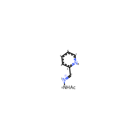 CC(=O)N/N=C/c1ccccn1